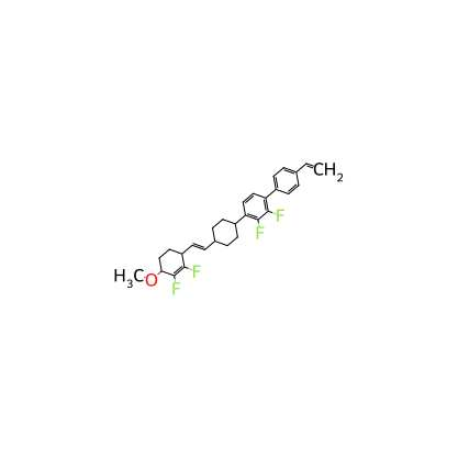 C=Cc1ccc(-c2ccc(C3CCC(/C=C/C4CCC(OC)C(F)=C4F)CC3)c(F)c2F)cc1